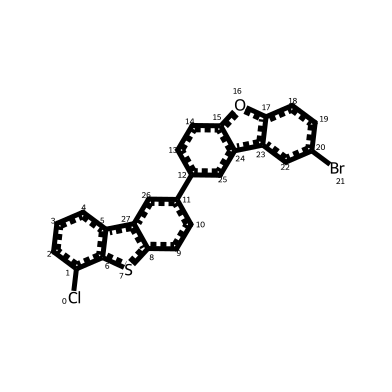 Clc1cccc2c1sc1ccc(-c3ccc4oc5ccc(Br)cc5c4c3)cc12